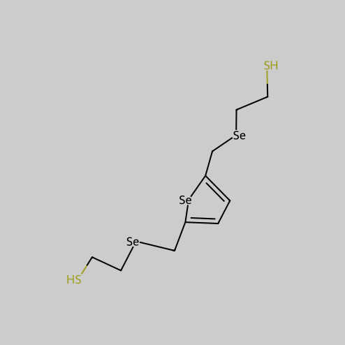 SCC[Se]Cc1ccc(C[Se]CCS)[se]1